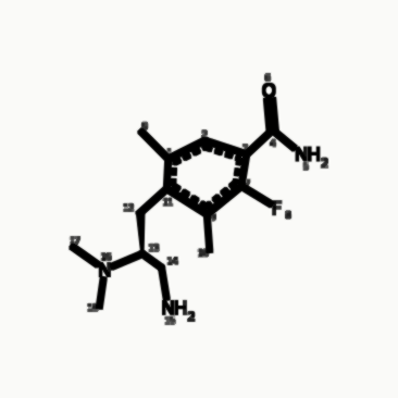 Cc1cc(C(N)=O)c(F)c(C)c1C[C@@H](CN)N(C)C